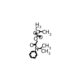 CC(C)N(C(=O)COS(=O)(=O)C(C)C)c1ccccc1